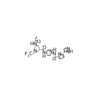 C=CC(=O)N[C@H]1C[C@@H](C(=O)Nc2ccc(NC(=O)c3cccc(-c4ccn[nH]4)n3)nc2)CN(CC(F)(F)F)C1